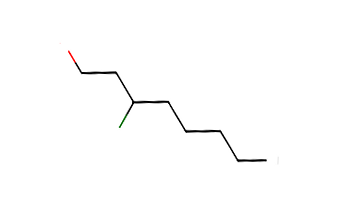 CCCCCC(Br)CCO